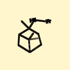 CC(C)NC1(C)CCC2CC1C2(C)C